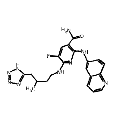 CC(CCNc1nc(Nc2ccc3ncccc3c2)c(C(N)=O)cc1F)Cc1nnn[nH]1